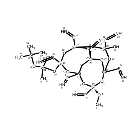 CO[Si@@]1(P=N)O[Si]2(P=N)C[Si@]3(P=N)O[Si](P=N)(O[Si](O)(P=N)O[Si](P=N)(O3)O1)O[Si](O[Si](C)(C)O[Si](C)(C)C)(P=N)O2